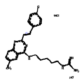 Cc1ccc2nc(/C=C/c3ccc(Cl)cc3)nc(NCCCCCNC(=N)N)c2c1.Cl.Cl